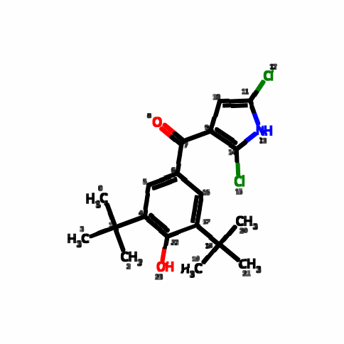 CC(C)(C)c1cc(C(=O)c2cc(Cl)[nH]c2Cl)cc(C(C)(C)C)c1O